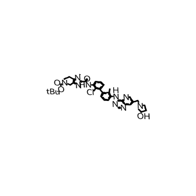 Cc1c(Nc2ncnc3cc(CN4CCC(O)C4)cnc23)cccc1-c1cccc(NC(=O)c2nc3c(n2C)CCN(C(=O)OC(C)(C)C)C3)c1Cl